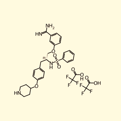 N=C(N)c1cccc(OC[C@@H](Cc2ccc(OC3CCNCC3)cc2)NS(=O)(=O)c2ccccc2)c1.O=C(O)C(F)(F)F.O=C(O)C(F)(F)F